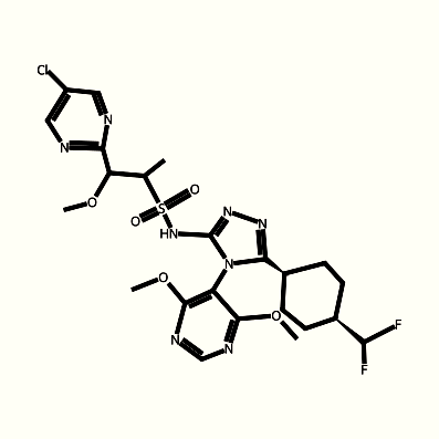 COc1ncnc(OC)c1-n1c(NS(=O)(=O)C(C)C(OC)c2ncc(Cl)cn2)nnc1[C@H]1CC[C@@H](C(F)F)CC1